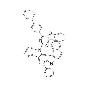 c1ccc(-c2ccc(-c3nc(-n4c5ccccc5c5cc6c7ccccc7n7c8ccc9ccccc9c8c(c54)c67)nc4c3oc3ccccc34)cc2)cc1